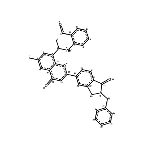 Cc1cc(C(C)Nc2ccccc2C=O)c2oc(-c3ccc4c(c3)CN(Cc3ccccc3)C4=O)cc(=O)c2c1